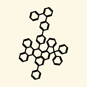 c1ccc(-c2cccc(-c3c(N(c4ccc(-c5ccc(-c6ccccc6-c6ccccc6)cc5)cc4)c4cccc5c4-c4ccccc4C5(c4ccccc4)c4ccccc4)c4ccccc4c4ccccc34)c2)cc1